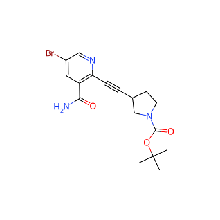 CC(C)(C)OC(=O)N1CCC(C#Cc2ncc(Br)cc2C(N)=O)C1